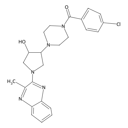 Cc1nc2ccccc2nc1N1CC(O)C(N2CCN(C(=O)c3ccc(Cl)cc3)CC2)C1